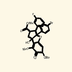 COC(=O)C1CC2(O)C3=C(OC)C(=O)C(OC)C=C3OC2(c2ccc(Br)cc2)C1c1cccc(F)c1